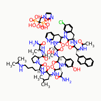 CC(=O)N[C@H](Cc1ccc2ccccc2c1)C(=O)N[C@H](Cc1ccc(Cl)cc1)C(=O)N[C@H](Cc1cccnc1)C(=O)N[C@@H](CO)C(=O)N(C)[C@@H](Cc1ccc(O)cc1)C(=O)N[C@H](CC(N)=O)C(=O)N[C@@H](CC(C)C)C(=O)N[C@@H](CCCCNC(C)C)C(=O)N1CCC[C@H]1C(=O)N[C@H](C)C(N)=O.O=P(O)(O)C(O)(Cn1ccnc1)P(=O)(O)O